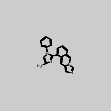 Cc1cn(-c2ccccc2)c(-c2cccc3cn4cncc4cc23)n1